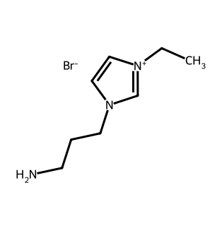 CC[n+]1ccn(CCCN)c1.[Br-]